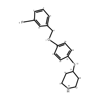 Fc1cccc(COc2ccc(SC3CCNCC3)cc2)c1